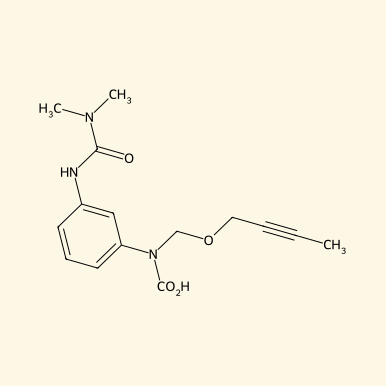 CC#CCOCN(C(=O)O)c1cccc(NC(=O)N(C)C)c1